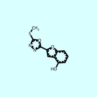 CSc1nnc(-c2cc3c(O)cccc3o2)o1